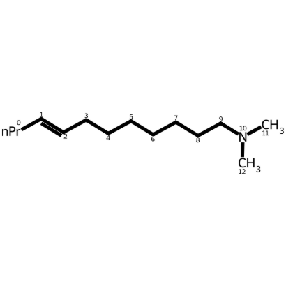 CCCC=CCCCCCCCN(C)C